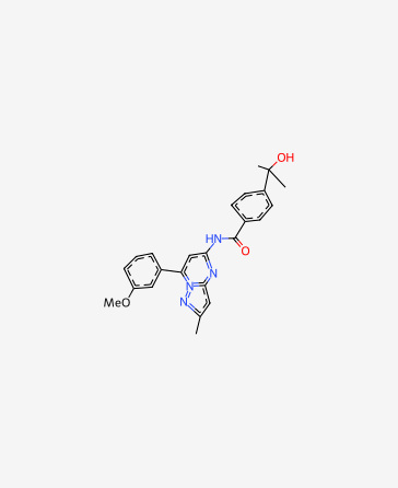 COc1cccc(-c2cc(NC(=O)c3ccc(C(C)(C)O)cc3)nc3cc(C)nn23)c1